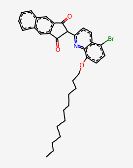 CCCCCCCCCCCCOc1ccc(Br)c2ccc(C3C(=O)c4cc5ccccc5cc4C3=O)nc12